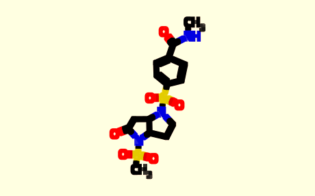 CNC(=O)c1ccc(S(=O)(=O)N2CCC3C2CC(=O)N3S(C)(=O)=O)cc1